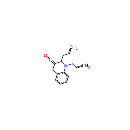 C=CCC1C(=C=O)Cc2ccccc2N1CC=C